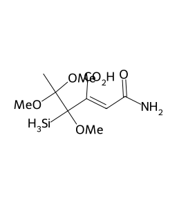 COC(C)(OC)C([SiH3])(OC)/C(=C/C(N)=O)C(=O)O